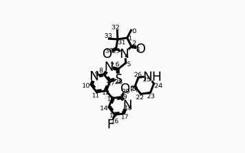 CC1C(=O)N(Cc2nc3nccc(-c4cc(F)cnc4O[C@H]4CCCNC4)c3s2)C(=O)C1(C)C